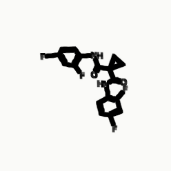 O=C(Nc1ccc(F)cc1F)C1(C(=O)Nc2ccc(F)cc2F)CC1